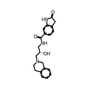 O=C1Cc2ccc(C(=O)NC[C@H](O)CN3CCc4ccccc4C3)cc2N1